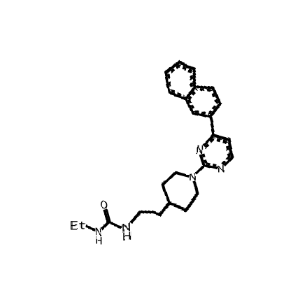 CCNC(=O)NCCC1CCN(c2nccc(-c3ccc4ccccc4c3)n2)CC1